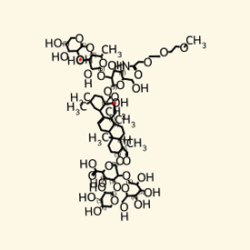 COCCOCCOCC(=O)N[C@H]1C(CO)O[C@@H](OC(=O)[C@]23CCC(C)(C)CC2C2=CCC4C5(C)CC[C@H](O[C@@H]6OC(C(=O)O)[C@@H](O)[C@H](O[C@@H]7OC[C@@H](O)[C@H](O)C7O)C6O[C@@H]6OC(CO)[C@H](O)[C@H](O)C6O)[C@](C)(C=O)[C@@H]5CC[C@]4(C)[C@]2(C)CC3O)C(O[C@@H]2OC(C)[C@H](O[C@@H]3OC[C@@H](O)C(O)C3O)C(O)C2O)C1O